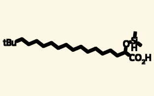 C[SiH](C)OC(CCCCCCCCCCCCCCC(C)(C)C)C(=O)O